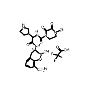 CCN1CCN(C(=O)NC(C(=O)N[C@H]2Cc3cccc(C(=O)O)c3OB2O)C2CCNC2)C(=O)C1=O.O=C(O)C(F)(F)F